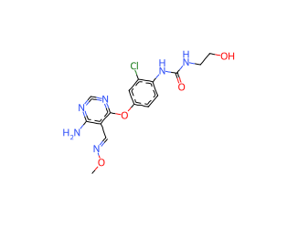 CON=Cc1c(N)ncnc1Oc1ccc(NC(=O)NCCO)c(Cl)c1